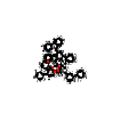 c1ccc(-c2ccc(-c3nc(-c4cccc(-c5ccccc5)c4)nc(-n4c5ccccc5c5cc(-n6c7ccccc7c7ccccc76)c6c7ccccc7n(-c7ccccc7-c7ccccc7)c6c54)n3)cc2)cc1